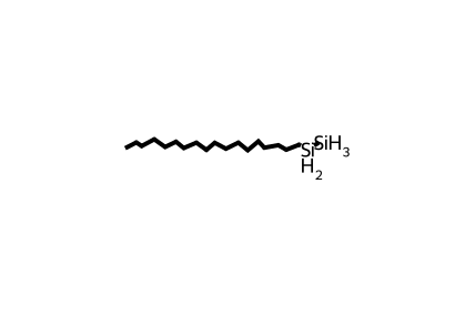 CCCCCCCCCCCCCCCCCC[SiH2][SiH3]